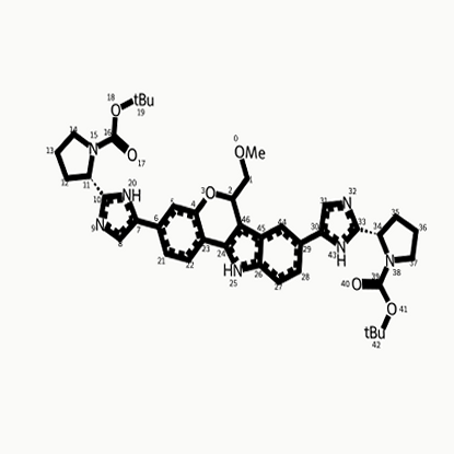 COCC1Oc2cc(-c3cnc([C@@H]4CCCN4C(=O)OC(C)(C)C)[nH]3)ccc2-c2[nH]c3ccc(-c4cnc([C@@H]5CCCN5C(=O)OC(C)(C)C)[nH]4)cc3c21